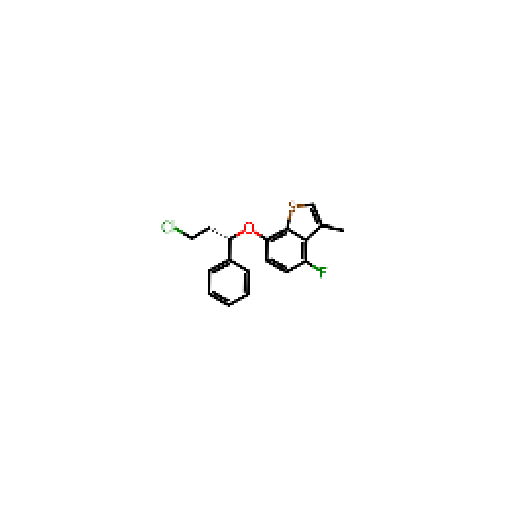 Cc1csc2c(O[C@@H](CCCl)c3ccccc3)ccc(F)c12